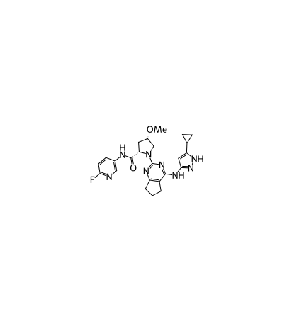 CO[C@H]1C[C@@H](C(=O)Nc2ccc(F)nc2)N(c2nc3c(c(Nc4cc(C5CC5)[nH]n4)n2)CCC3)C1